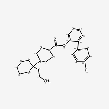 CCCC1(C2CCC(C(=O)Oc3ccccc3-c3ccc(F)cc3)CC2)CCCCC1